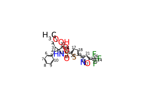 COC[C@@H]1[C@H](c2ccccc2)[C@]1(NS(=O)(=O)c1ccc(-c2cc(C(F)(F)F)on2)s1)C(=O)O